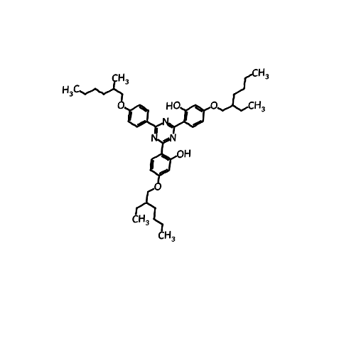 CCCCC(C)COc1ccc(-c2nc(-c3ccc(OCC(CC)CCCC)cc3O)nc(-c3ccc(OCC(CC)CCCC)cc3O)n2)cc1